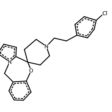 Clc1ccc(CCN2CCC3(CC2)Oc2ccccc2Cn2cccc23)cc1